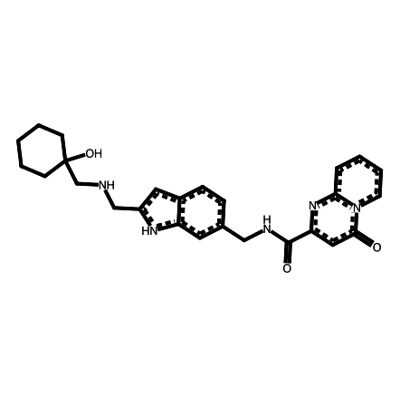 O=C(NCc1ccc2cc(CNCC3(O)CCCCC3)[nH]c2c1)c1cc(=O)n2ccccc2n1